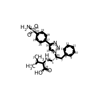 CC(C)C(NC[C@@H](Cc1ccccc1)n1cc(-c2ccc(S(N)(=O)=O)cc2)nn1)C(=O)O